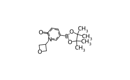 CC1(C)OB(c2ccc(=O)n(C3COC3)c2)OC1(C)C